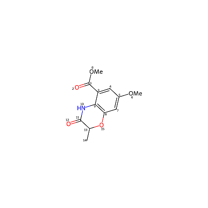 COC(=O)c1cc(OC)cc2c1NC(=O)C(C)O2